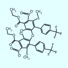 CCOC(=O)c1c(Cl)c(Oc2c(Cl)c(C(=O)OCC)c([N+](=O)[O-])c(SC)c2-c2ccc(C(F)(F)F)cc2)c(-c2ccc(C(F)(F)F)cc2)c(SC)c1[N+](=O)[O-]